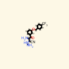 N#C/C(NN)=C(/N)C(=O)c1cccc(OCc2ccc(C(F)(F)F)cc2)c1